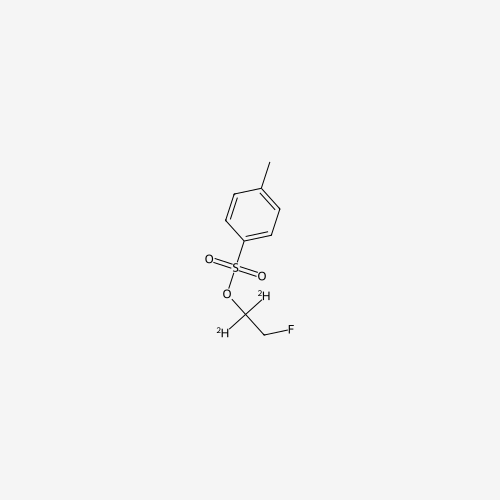 [2H]C([2H])(CF)OS(=O)(=O)c1ccc(C)cc1